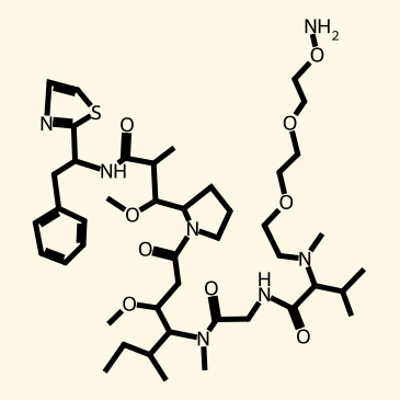 CCC(C)C(C(CC(=O)N1CCCC1C(OC)C(C)C(=O)NC(Cc1ccccc1)c1nccs1)OC)N(C)C(=O)CNC(=O)C(C(C)C)N(C)CCOCCOCCON